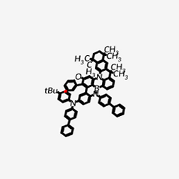 CC(C)(C)c1ccc(N(c2ccc(-c3ccccc3)cc2)c2ccc3c(c2)-c2c4c(cc5oc6ccccc6c25)N2c5cc6c(cc5C(C)(C)c5cccc(c52)B4N3c2ccc(-c3ccccc3)cc2)C(C)(C)CCC6(C)C)cc1